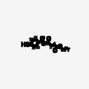 CCCOC(=O)/C=C/C(=O)OC(=O)c1ccc(O)cc1